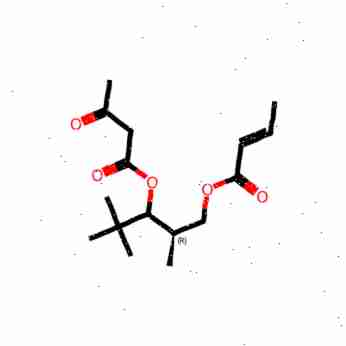 CC=CC(=O)OC[C@@H](C)C(OC(=O)CC(C)=O)C(C)(C)C